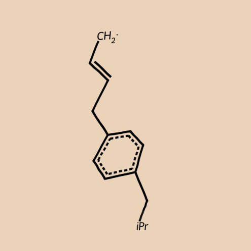 [CH2]C=CCc1ccc(CC(C)C)cc1